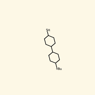 CCCCC1CCC(C2CCC(S)CC2)CC1